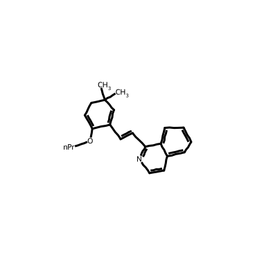 CCCOC1=CCC(C)(C)C=C1C=Cc1nccc2ccccc12